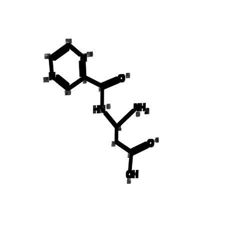 NC(CC(=O)O)NC(=O)c1cnccn1